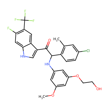 COc1cc(NC(C(=O)c2c[nH]c3cc(F)c(C(F)(F)F)cc23)c2ccc(Cl)cc2C)cc(OCCO)c1